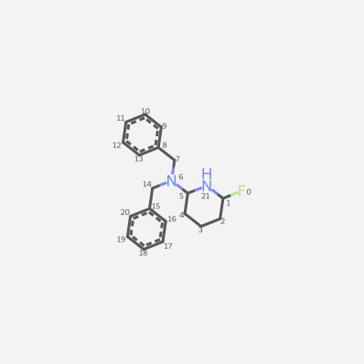 FC1CCCC(N(Cc2ccccc2)Cc2ccccc2)N1